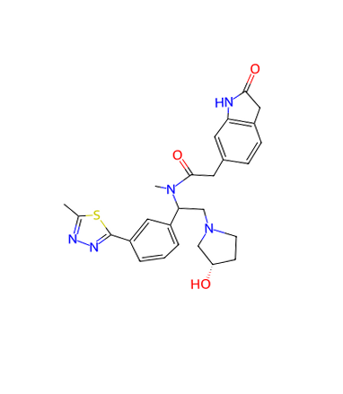 Cc1nnc(-c2cccc(C(CN3CC[C@H](O)C3)N(C)C(=O)Cc3ccc4c(c3)NC(=O)C4)c2)s1